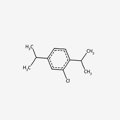 CC(C)c1ccc(C(C)C)c(Cl)c1